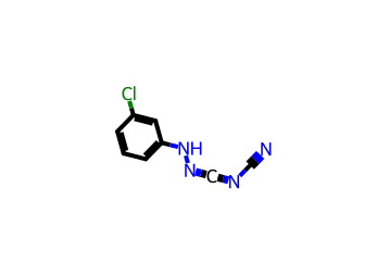 N#CN=C=NNc1cccc(Cl)c1